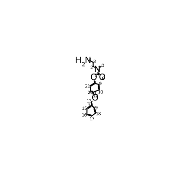 CN(CCN)C(=O)Oc1ccc(OCc2ccccc2)cc1